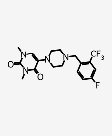 Cn1cc(N2CCN(Cc3ccc(F)cc3C(F)(F)F)CC2)c(=O)n(C)c1=O